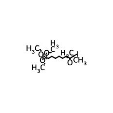 CCO[Si](CCCCCCC(=O)C(C)(C)I)(OCC)OCC